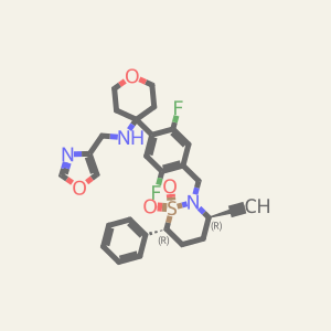 C#C[C@H]1CC[C@H](c2ccccc2)S(=O)(=O)N1Cc1cc(F)c(C2(NCc3cocn3)CCOCC2)cc1F